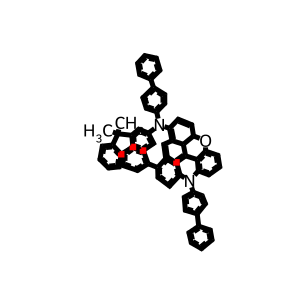 CC1(C)c2ccccc2-c2ccc(N(C3=C4C=CC=C5c6c(cccc6N(c6ccc(-c7ccccc7)cc6)c6ccc(-c7ccccc7)cc6)OC(C=C3)C54)c3ccc(-c4ccccc4)cc3)cc21